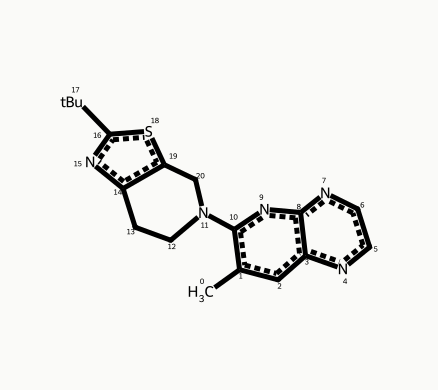 Cc1cc2nccnc2nc1N1CCc2nc(C(C)(C)C)sc2C1